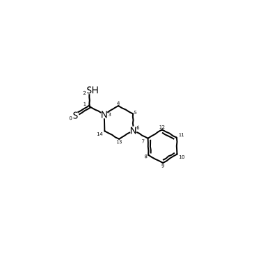 S=C(S)N1CCN(c2ccccc2)CC1